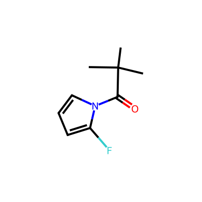 CC(C)(C)C(=O)n1cccc1F